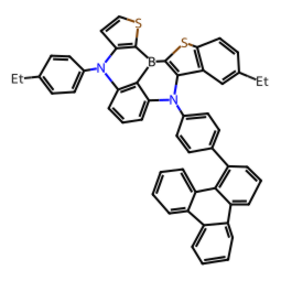 CCc1ccc(N2c3ccsc3B3c4sc5ccc(CC)cc5c4N(c4ccc(-c5cccc6c7ccccc7c7ccccc7c56)cc4)c4cccc2c43)cc1